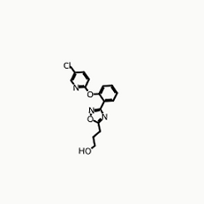 OCCCc1nc(-c2ccccc2Oc2ccc(Cl)cn2)no1